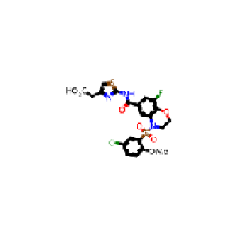 COc1ccc(Cl)cc1S(=O)(=O)N1CCOc2c(F)cc(C(=O)Nc3nc(CC(=O)O)cs3)cc21